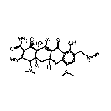 CC(C)NCc1cc(N(C)C)c2c(c1O)C(=O)C1=C(O)[C@]3(O)C(=O)C(C(N)=O)=C(O)[C@H](N(C)C)[C@H]3C[C@H]1C2